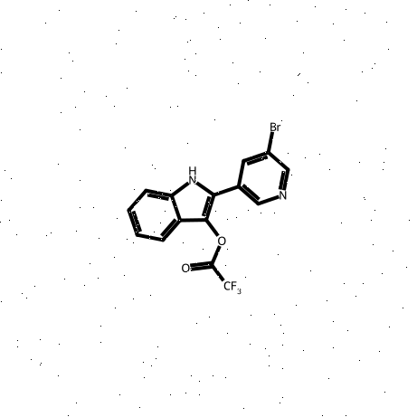 O=C(Oc1c(-c2cncc(Br)c2)[nH]c2ccccc12)C(F)(F)F